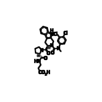 CN(C(=O)N1Cc2[nH]c3ccccc3c2C[C@@H]1C(=O)N1CCC[C@H]1C(=O)NCCC(=O)O)c1ccc(Cl)c(Cl)c1